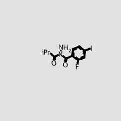 CC(C)C(=O)N(N)C(=O)c1ccc(I)cc1F